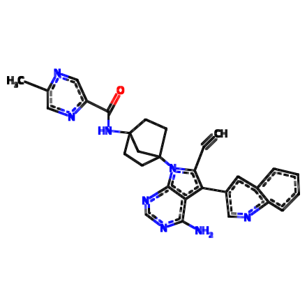 C#Cc1c(-c2cnc3ccccc3c2)c2c(N)ncnc2n1C12CCC(NC(=O)c3cnc(C)cn3)(CC1)C2